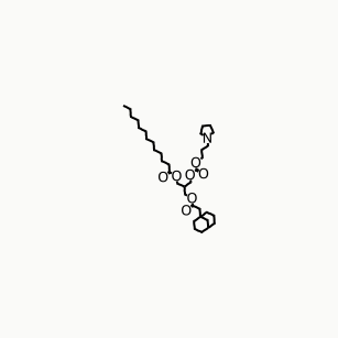 CCCCCCCCCCCCC(=O)OCC(COC(=O)CC12CCCC(CCC1)C2)COC(=O)OCCCN1CCCC1